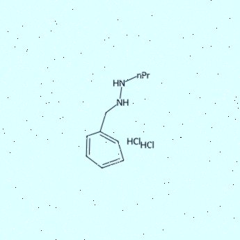 CCCNNCc1ccccc1.Cl.Cl